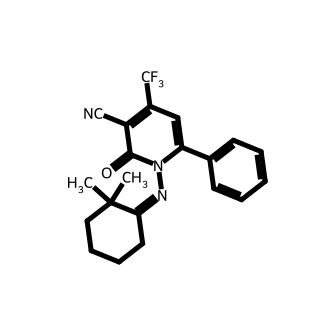 CC1(C)CCCC/C1=N/n1c(-c2ccccc2)cc(C(F)(F)F)c(C#N)c1=O